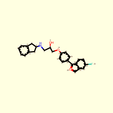 O[C@H](CNC1Cc2ccccc2C1)COc1ccc(-c2occ3cc(F)ccc23)cc1